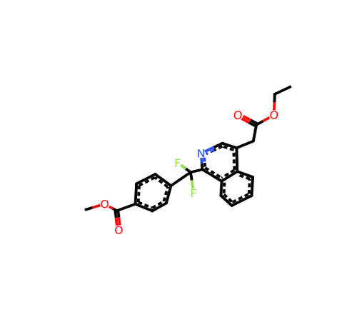 CCOC(=O)Cc1cnc(C(F)(F)c2ccc(C(=O)OC)cc2)c2ccccc12